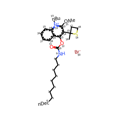 CCCCCCCCCCCCCCCCCCNC(=O)Oc1c(C2(C)CCS2)c(OC)[n+](CCCC)c2ccccc12.[Br-]